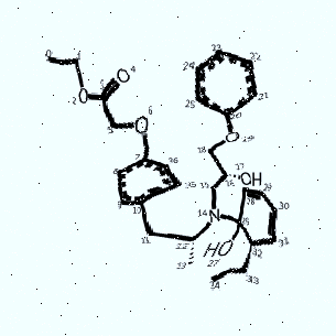 CCOC(=O)COc1ccc(C[C@@H](C)N(C[C@@H](O)COc2ccccc2)C2(O)C=CC=C[C@H]2CC)cc1